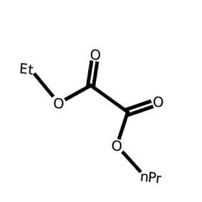 CCCOC(=O)C(=O)OCC